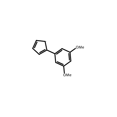 COc1cc(OC)cc(C2=CC=C[CH]2)c1